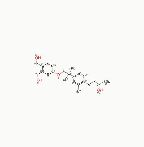 CCc1cc(C(CC)(CC)COc2ccc(CO)c(CO)c2)ccc1CCC(O)C(C)(C)C